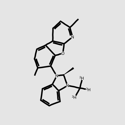 [2H]C([2H])([2H])N1c2ccccc2N(c2c(C)ccc3c2oc2nc(C)ccc23)[C@H]1C